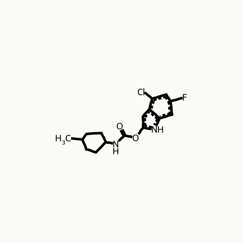 CC1CCC(NC(=O)Oc2cc3c(Cl)cc(F)cc3[nH]2)CC1